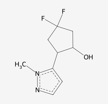 Cn1nccc1C1CC(F)(F)CC1O